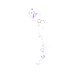 Cc1ncsc1-c1ccc(CNC(=O)[C@@H]2CCCN2C(=O)[C@@H](NC(=O)C2(F)CC2)C(C)(C)C)c(OCCCCCCN2CCC(CCCC(=O)Nc3cccc(Sc4cnc(N5CCC(C)(CN)CC5)cn4)c3Cl)CC2)c1